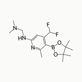 Cc1nc(NCN(C)C)cc(C(F)F)c1B1OC(C)(C)C(C)(C)O1